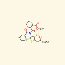 COC(=O)Cc1sc(F)c(N(C(=O)C2=C(C(=O)OC(C)C)CCCC2)C(=O)c2cccc(F)c2)c1Cl